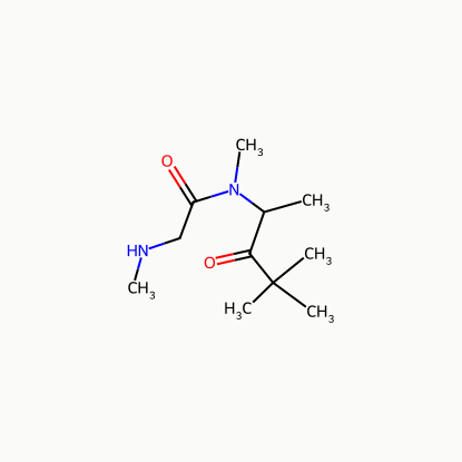 CNCC(=O)N(C)C(C)C(=O)C(C)(C)C